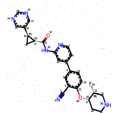 N#Cc1cc(-c2ccnc(NC(=O)[C@@H]3C[C@H]3c3cncnc3)c2)ccc1O[C@H]1CCNC[C@H]1F